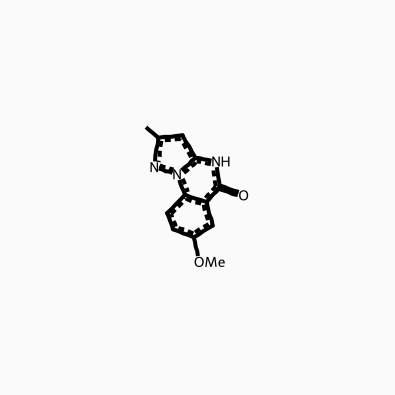 COc1ccc2c(c1)c(=O)[nH]c1cc(C)nn12